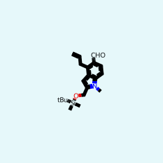 C=CCc1c(C=O)ccc2c1cc(CO[Si](C)(C)C(C)(C)C)n2C